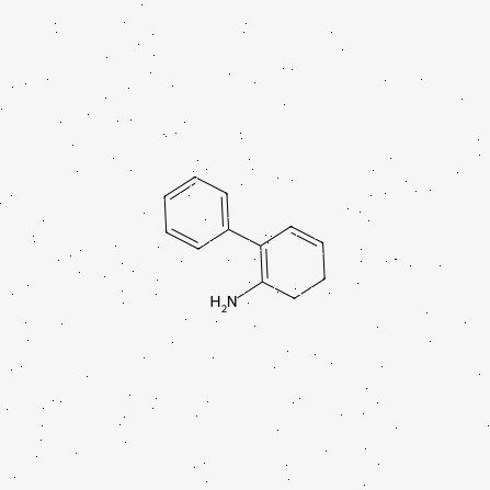 NC1=C(c2ccccc2)C=CCC1